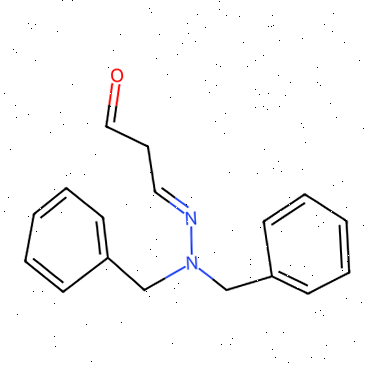 O=CCC=NN(Cc1ccccc1)Cc1ccccc1